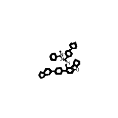 C=N/C(=N\C(=N/Cc1c(-c2ccc(-c3ccc4ccccc4c3)cc2)ccc2oc3ccccc3c12)c1ccc(-c2ccccc2)cc1)c1ccccc1